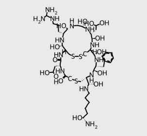 NC(N)NCCC[C@H]1N[C@@H](O)[C@@H]2CSSC[C@H](N[C@H](O)[C@@H](CC(O)O)N[C@@H](O)CN[C@@H]1O)[C@H](O)N[C@H](Cc1ccccc1)[C@@H](O)N[C@H]([C@H](O)NCCCCC[C@H](N)O)CSCC(=O)N[C@H](CC(O)O)C(=O)N2